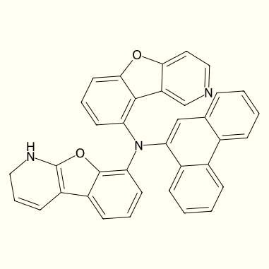 C1=Cc2c(oc3c(N(c4cc5ccccc5c5ccccc45)c4cccc5oc6ccncc6c45)cccc23)NC1